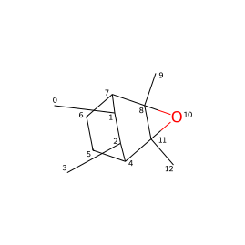 CC1C(C)C2CCC1C1(C)OC21C